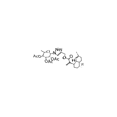 C=C(C(=O)OCc1cn(C2OC(C)C(OC(C)=O)C(OC(C)=O)[C@H]2OC(C)=O)nn1)[C@@H]1CC[C@@H](C)[C@@H]2CCC(C)=C[C@@H]21